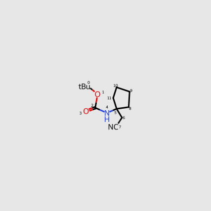 CC(C)(C)OC(=O)NC1(CC#N)CCCC1